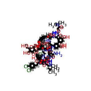 CN[C@H](CC(C)C)C(=O)N[C@H]1C(=O)N[C@@H](CC(N)=O)C(=O)N[C@H]2C(=O)N[C@H]3C(=O)N[C@H](C(=O)N[C@@H](C(=O)NOCC(=O)N(C)C)c4cc(O)cc(O)c4-c4cc3ccc4O)[C@H](O)c3ccc(c(Cl)c3)Oc3cc2cc(c3O[C@@H]2O[C@H](CO)[C@@H](O)[C@H](O)[C@H]2O[C@H]2C[C@](C)(NCCn3ccc(NC(=O)Cc4ccc(Cl)c(Cl)c4)nc3=O)[C@H](O)[C@H](C)O2)Oc2ccc(cc2Cl)[C@H]1O